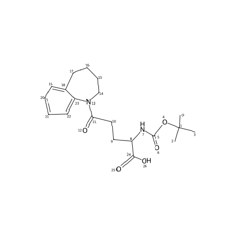 CC(C)(C)OC(=O)NC(CCC(=O)N1CCCCc2ccccc21)C(=O)O